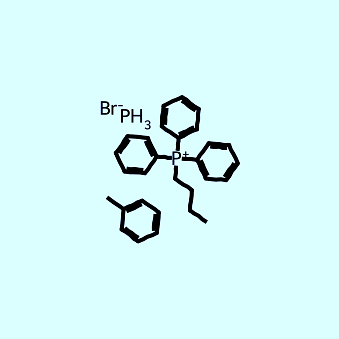 CCCC[P+](c1ccccc1)(c1ccccc1)c1ccccc1.Cc1ccccc1.P.[Br-]